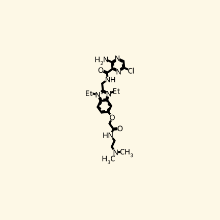 CCn1c(CNC(=O)c2nc(Cl)cnc2N)[n+](CC)c2ccc(OCC(=O)NCCN(C)C)cc21